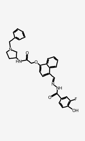 O=C(COc1ccc(/C=N/NC(=O)c2ccc(O)c(F)c2)c2ccccc12)NC1CCN(Cc2ccccc2)C1